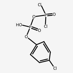 O=P(Cl)(Cl)OP(=O)(O)Oc1ccc(Cl)cc1